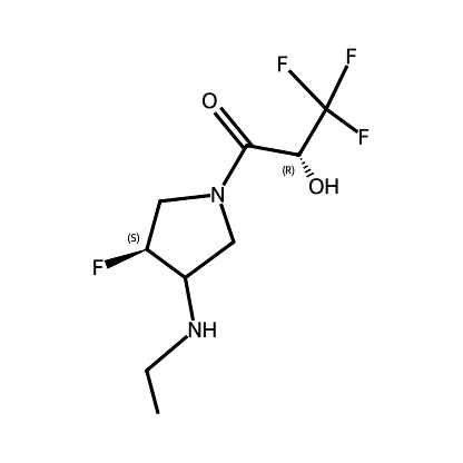 CCNC1CN(C(=O)[C@@H](O)C(F)(F)F)C[C@@H]1F